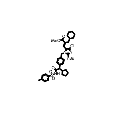 CCCCc1nc(Cl)c(C=C(CC2CCCCC2)C(=O)OC)n1Cc1ccc(C(C(=O)NS(=O)(=O)c2ccc(C)cc2)C2CCCC2)cc1